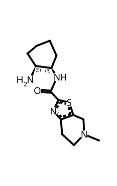 CN1CCc2nc(C(=O)N[C@@H]3CCCC[C@@H]3N)sc2C1